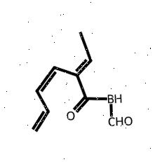 C=C/C=C\C(=C/C)C(=O)BC=O